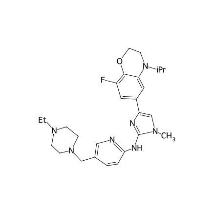 CCN1CCN(Cc2ccc(Nc3nc(-c4cc(F)c5c(c4)N(C(C)C)CCO5)cn3C)nc2)CC1